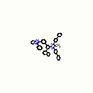 CC1C(c2ccc(-c3ccccc3)cc2)=NC(c2cc(-c3cccc(-c4nc5ccccn5c4-c4ccccc4)c3)cc(-c3cccc4ccccc34)c2)=NC1c1ccc(-c2ccccc2)cc1